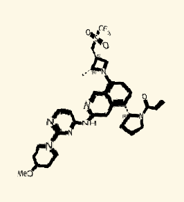 C=CC(=O)N1CCC[C@@H]1c1ccc(N2C[C@H](CS(=O)(=O)C(F)(F)F)[C@H]2C)c2cnc(Nc3ccnc(N4CCC(OC)CC4)n3)cc12